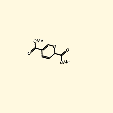 COC(=O)C1=COC(C(=O)OC)C=C1